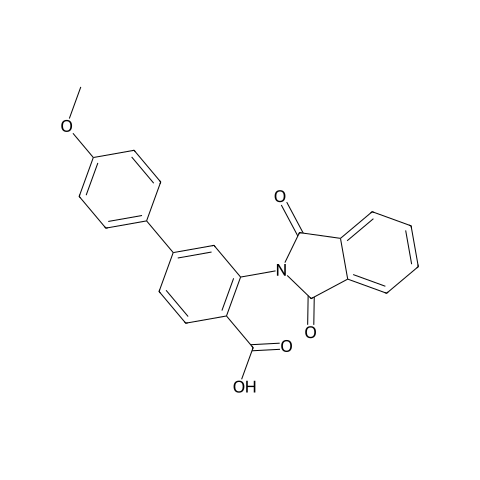 COc1ccc(-c2ccc(C(=O)O)c(N3C(=O)c4ccccc4C3=O)c2)cc1